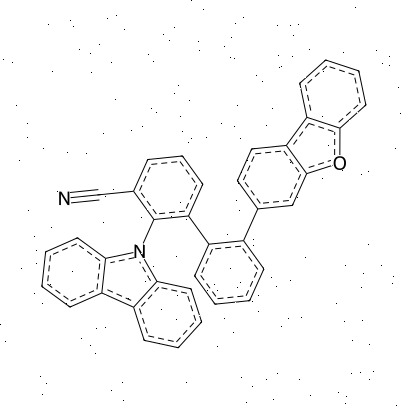 N#Cc1cccc(-c2ccccc2-c2ccc3c(c2)oc2ccccc23)c1-n1c2ccccc2c2ccccc21